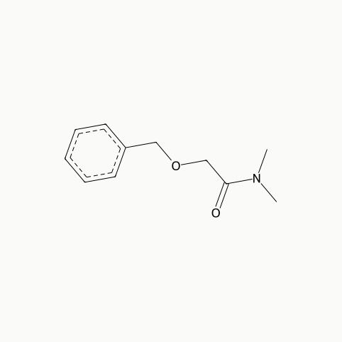 CN(C)C(=O)COCc1ccccc1